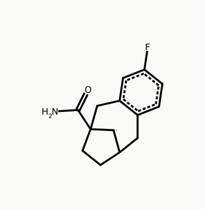 NC(=O)C12[CH]C(CC1)Cc1ccc(F)cc1C2